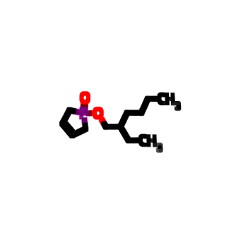 CCCCC(CC)COP1(=O)CC=CC1